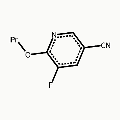 CC(C)Oc1ncc(C#N)cc1F